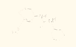 C#Cc1cccc(NC(=O)NC2CCCCC2)c1